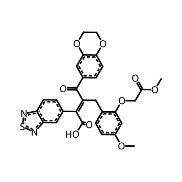 COC(=O)COc1cc(OC)ccc1CC(C(=O)c1ccc2c(c1)OCCO2)=C(C(=O)O)c1ccc2nsnc2c1